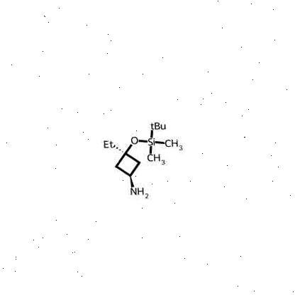 CC[C@]1(O[Si](C)(C)C(C)(C)C)C[C@@H](N)C1